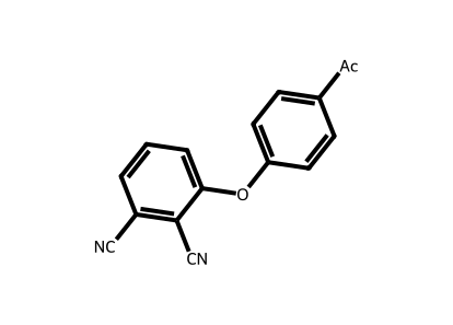 CC(=O)c1ccc(Oc2cccc(C#N)c2C#N)cc1